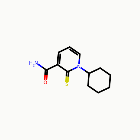 NC(=O)c1cccn(C2CCCCC2)c1=S